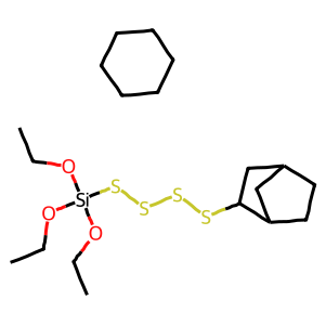 C1CCCCC1.CCO[Si](OCC)(OCC)SSSSC1CC2CCC1C2